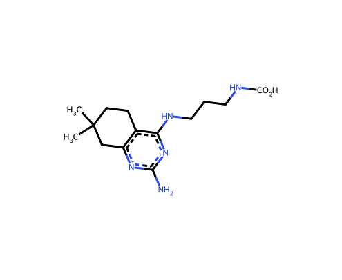 CC1(C)CCc2c(nc(N)nc2NCCCNC(=O)O)C1